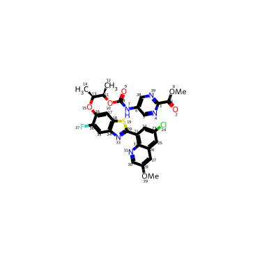 COC(=O)c1ncc(NC(=O)O[C@H](C)[C@H](C)Oc2cc3sc(-c4cc(Cl)cc5cc(OC)cnc45)nc3cc2F)cn1